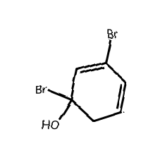 OC1(Br)C=C(Br)C=[C]C1